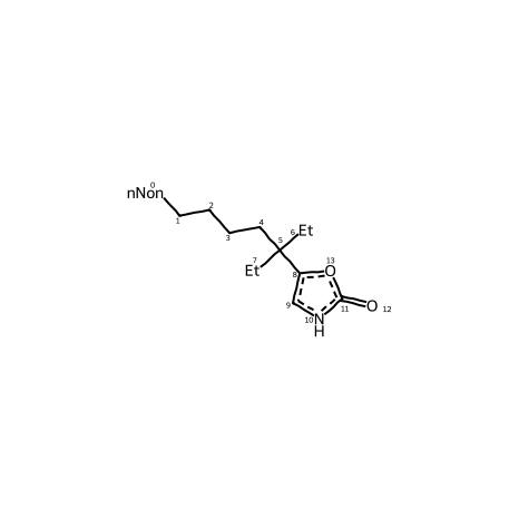 CCCCCCCCCCCCCC(CC)(CC)c1c[nH]c(=O)o1